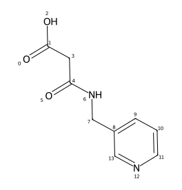 O=C(O)CC(=O)NCc1cccnc1